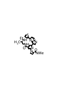 CCNC(C)CNC(=O)c1cc(-c2cnn3ccc(-c4cccs4)nc23)nc(N2CC[C@H]2C(=O)NC)c1